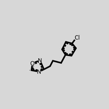 Clc1ccc(CCCc2n[c]on2)cc1